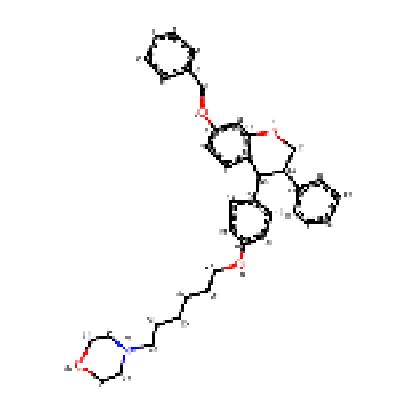 c1ccc(COc2ccc3c(c2)OCC(c2ccccc2)C3c2ccc(OCCCCCCN3CCOCC3)cc2)cc1